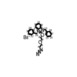 [Br-].[N-]=[N+]=NCCOCCOc1n(Cc2ccccc2)c2ccccc2[n+]1Cc1ccccc1